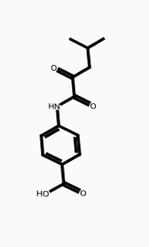 CC(C)CC(=O)C(=O)Nc1ccc(C(=O)O)cc1